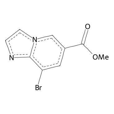 COC(=O)c1cc(Br)c2nccn2c1